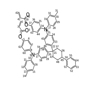 C=CC(=O)Oc1ccc(N(c2ccc(C)cc2)c2ccc(C3(c4ccc(N(c5ccc(C)cc5)c5ccc(OC(=O)C=C)cc5)cc4)CCC(c4ccccc4)CC3)cc2)cc1